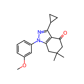 COc1cccc(-n2nc(C3CC3)c3c2CC(C)(C)CC3=O)c1